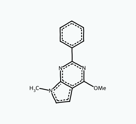 COc1nc(-c2ccccc2)nc2c1ccn2C